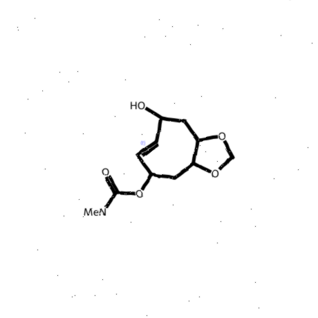 CNC(=O)OC1/C=C/C(O)CC2OCOC2C1